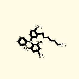 CCCCCCCc1cc(N(c2ccccc2)c2c(C)cc(C)cc2C)ccc1C